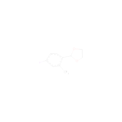 FC(F)(F)c1cc(I)ccc1C1OCCO1